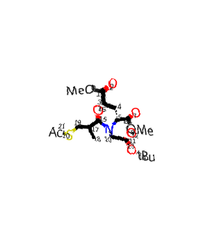 COC(=O)CC[C@H](C(=O)OC)N(CC(=O)OC(C)(C)C)C(=O)C(C)CSC(C)=O